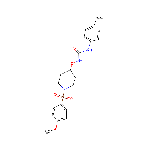 COc1ccc(NC(=O)NOC2CCN(S(=O)(=O)c3ccc(OC(F)(F)F)cc3)CC2)cc1